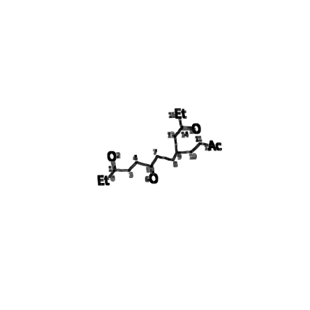 CCC(=O)CCC(=O)CCC(CCC(C)=O)CC(=O)CC